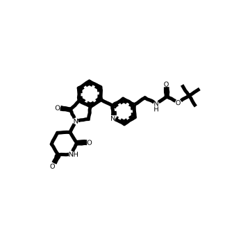 CC(C)(C)OC(=O)NCc1ccnc(-c2cccc3c2CN(C2CCC(=O)NC2=O)C3=O)c1